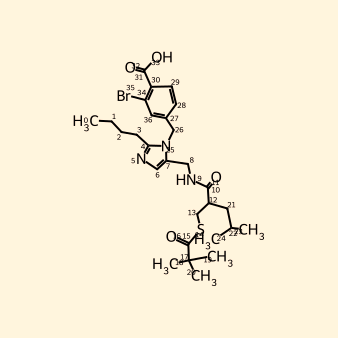 CCCCc1ncc(CNC(=O)C(CSC(=O)C(C)(C)C)CC(C)C)n1Cc1ccc(C(=O)O)c(Br)c1